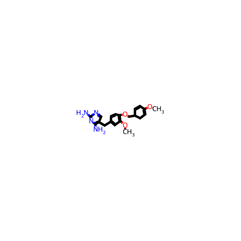 COC1=CCC(COc2ccc(Cc3cnc(N)nc3N)cc2OC)C=C1